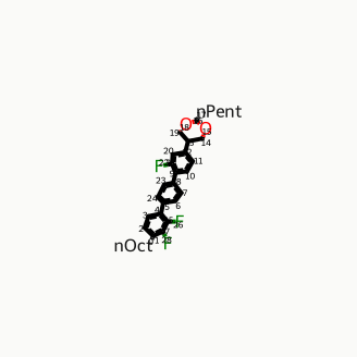 CCCCCCCCc1ccc(-c2ccc(-c3ccc(C4COC(CCCCC)OC4)cc3F)cc2)c(F)c1F